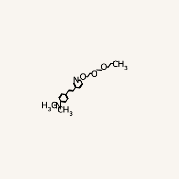 CCCOCCOCCOc1ccc(/C=C/c2ccc(N(C)C)cc2)cn1